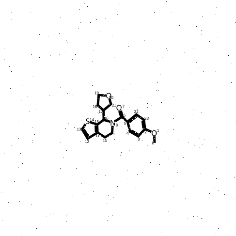 COc1ccc(C(=O)N2CCc3ccsc3C2C2CCOC2)cc1